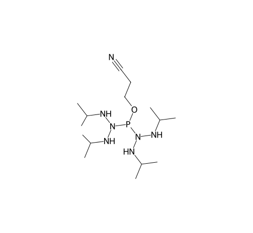 CC(C)NN(NC(C)C)P(OCCC#N)N(NC(C)C)NC(C)C